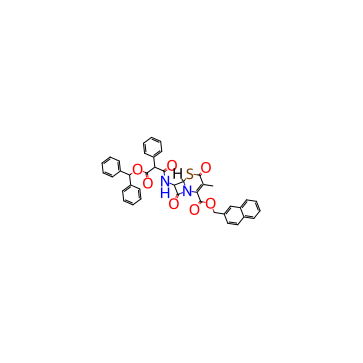 CC1=C(C(=O)OCc2ccc3ccccc3c2)N2C(=O)C(NC(=O)C(C(=O)OC(c3ccccc3)c3ccccc3)c3ccccc3)[C@@H]2SC1=O